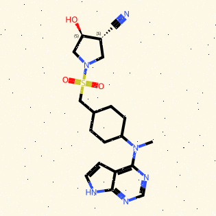 CN(c1ncnc2[nH]ccc12)C1CCC(CS(=O)(=O)N2C[C@@H](O)[C@H](C#N)C2)CC1